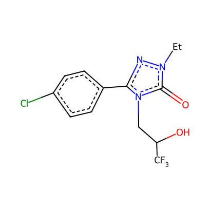 CCn1nc(-c2ccc(Cl)cc2)n(CC(O)C(F)(F)F)c1=O